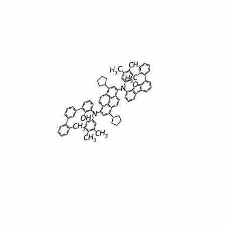 Cc1ccc(N(c2cccc(-c3cccc(-c4ccccc4C)c3)c2O)c2cc(C3CCCC3)c3ccc4c(N(c5ccc(C)c(C)c5)c5cccc6c5oc5c(-c7ccccc7C)cccc56)cc(C5CCCC5)c5ccc2c3c54)cc1C